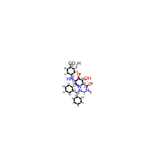 CN1CN(C(c2ccccc2)c2ccccc2)n2cc(Nc3ccc(C(=O)O)cc3)c(=O)c(O)c2C1=O